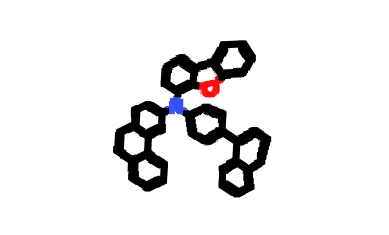 c1ccc2c(-c3ccc(N(c4ccc5ccc6ccccc6c5c4)c4cccc5c4oc4ccccc45)cc3)cccc2c1